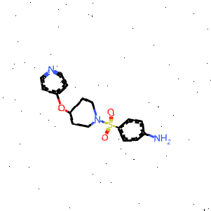 Nc1ccc(S(=O)(=O)N2CCC(Oc3ccncc3)CC2)cc1